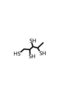 CC(S)C(S)C(S)CS